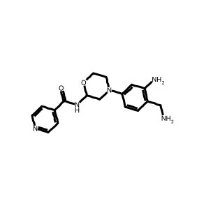 NCc1ccc(N2CCOC(NC(=O)c3ccncc3)C2)cc1N